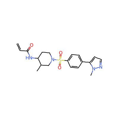 C=CC(=O)NC1CCN(S(=O)(=O)c2ccc(-c3ccnn3C)cc2)CC1C